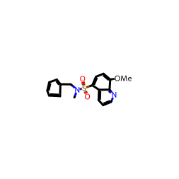 COc1ccc(S(=O)(=O)N(C)Cc2ccccc2)c2cccnc12